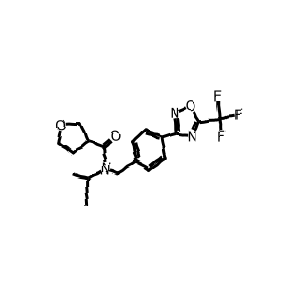 CC(C)N(Cc1ccc(-c2noc(C(F)(F)F)n2)cc1)C(=O)C1CCOC1